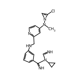 CN(c1ccnc(CNc2cccc(C(=N)N(C=N)C3CC3)c2)c1)N1C=C1Cl